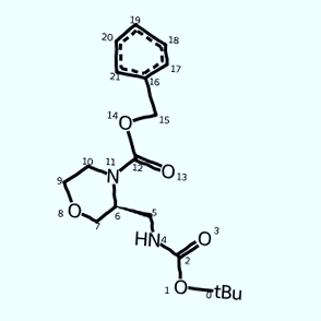 CC(C)(C)OC(=O)NC[C@H]1COCCN1C(=O)OCc1ccccc1